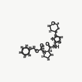 O=C(Nc1nc(C2CCOCC2)cs1)C1CCCN1C(=O)OCc1ccccc1